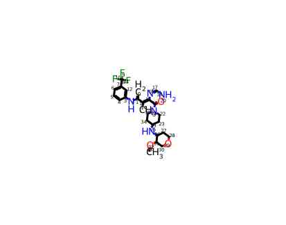 C=C(Nc1cccc(C(F)(F)F)c1)/C(C)=C(\N=C/N)C(=O)N1CCC(NC2CCOCC2OC)CC1